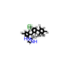 COc1c([C](=[Ru+2]=[C]2NCCN2)c2c(C)cc(C)cc2C)cccc1-c1c(C)cc(C)cc1C.[Cl-].[Cl-]